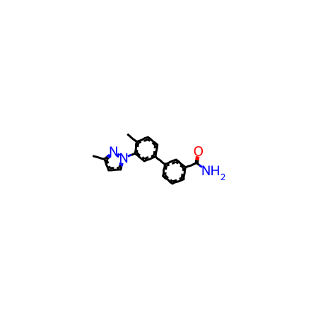 Cc1ccn(-c2cc(-c3cccc(C(N)=O)c3)ccc2C)n1